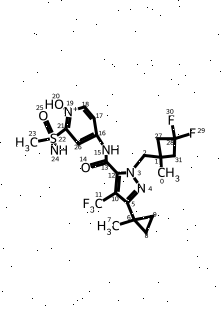 CC1(Cn2nc(C3(C)CC3)c(C(F)(F)F)c2C(=O)Nc2cc[n+](O)c(S(C)(=N)=O)c2)CC(F)(F)C1